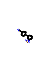 N#Cc1ccc(-c2[c]ccc3nsnc23)cc1